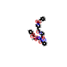 CC(OC(=O)C[C@H](NC(=O)c1ccccc1)NC(=O)[C@@H]1CCCN(C(=O)CCC2CCN(C(=O)OCc3ccccc3)CC2)C1)OC(=O)OC1CCCCC1